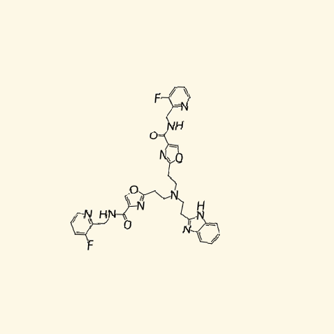 O=C(NCc1ncccc1F)c1coc(CCN(CCc2nc3ccccc3[nH]2)CCc2nc(C(=O)NCc3ncccc3F)co2)n1